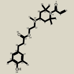 C=CC(=O)N1C(C)(C)CC(N(C)CCOC(=O)CCc2cc(C)c(O)c(C)c2)CC1(C)C